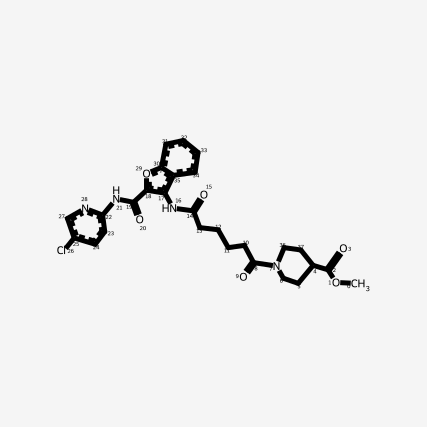 COC(=O)C1CCN(C(=O)CCCCC(=O)Nc2c(C(=O)Nc3ccc(Cl)cn3)oc3ccccc23)CC1